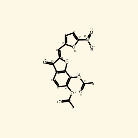 CC(=O)Oc1ccc2c(c1OC(C)=O)O/C(=C\c1ccc([N+](=O)[O-])o1)C2=O